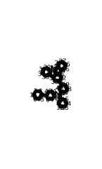 C1=CCCC(c2ccc(N(c3ccccc3)c3cccc(-c4cc5c6ccccc6n6c7ccccc7c(c4)c56)c3)cc2)=C1